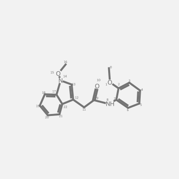 COc1ccccc1NC(=O)Cc1cn(OC)c2ccccc12